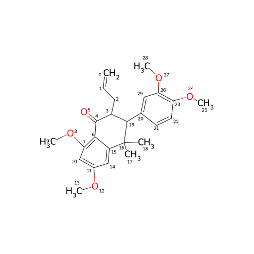 C=CCC1C(=O)c2c(OC)cc(OC)cc2C(C)(C)C1c1ccc(OC)c(OC)c1